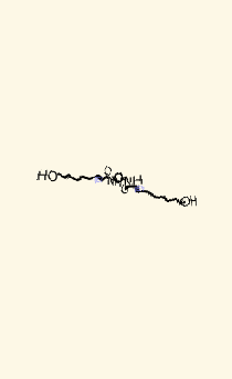 O=C(/C=C/CCCCCCO)N[C@@H]1CC[C@H](NC(=O)/C=C/CCCCCCO)C1